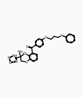 NC1(c2nnn[nH]2)COc2cccc(C(=O)c3ccc(OCCCSc4ccccc4)cc3)c2O1